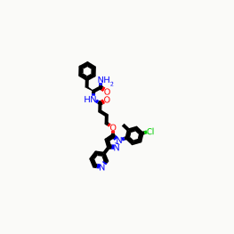 Cc1cc(Cl)ccc1-n1nc(-c2cccnc2)cc1OCCCC(=O)N[C@@H](Cc1ccccc1)C(N)=O